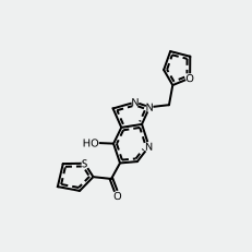 O=C(c1cccs1)c1cnc2c(cnn2Cc2ccco2)c1O